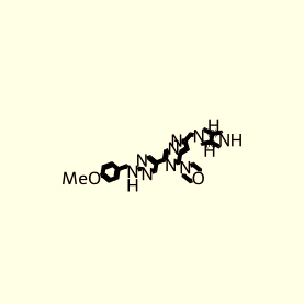 COc1ccc(CNc2ncc(-c3cn4nc(CN5C[C@H]6CNC[C@@H]6C5)cc4c(N4CCOCC4)n3)cn2)cc1